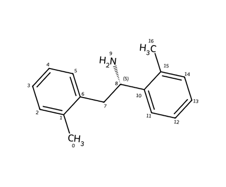 Cc1ccccc1C[C@H](N)c1ccccc1C